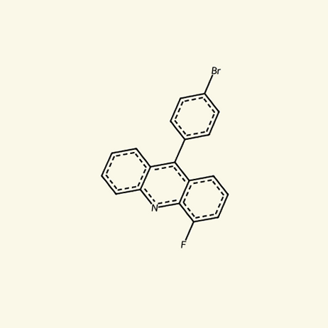 Fc1cccc2c(-c3ccc(Br)cc3)c3ccccc3nc12